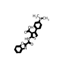 CN(C)c1ccc(-c2csc(NC(=O)c3nc4ccccc4o3)c2C(=O)O)cc1